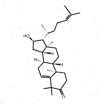 CC(C)=CCC[C@@H](C)[C@H]1[C@H](O)C[C@H]2[C@@H]3CC=C4C(C)(C)C(=O)CC[C@]4(C)[C@H]3CC[C@]12C